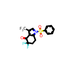 O=C1c2c(C(F)(F)F)cn(S(=O)(=O)c3ccccc3)c2CCC1(F)F